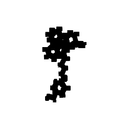 C=Cc1ccc(OCCCCCCC2(c3ccccc3)C3=C(CCC(Br)=C3)c3ccccc32)cc1